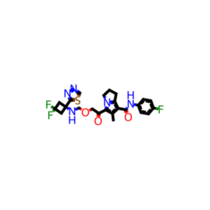 Cc1c(C(=O)Nc2ccc(F)cc2)c2n(c1C(=O)COCNC1(c3nncs3)CC(F)(F)C1)CCC2